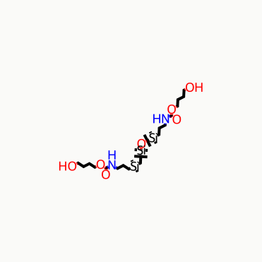 CC(C)(O[Si](C)(C)C(C)(C)C[Si](C)(C)CCCNC(=O)OCCCCO)[Si](C)(C)CCCNC(=O)OCCCCO